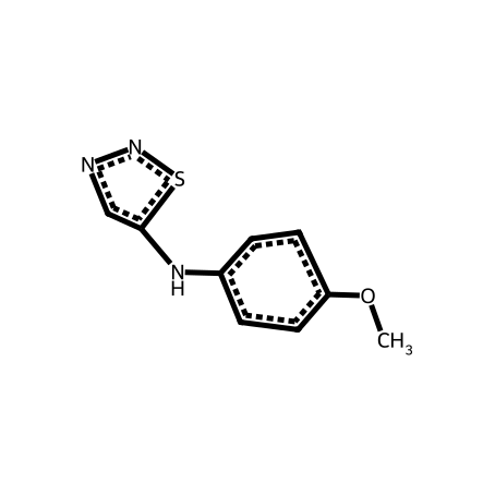 COc1ccc(Nc2cnns2)cc1